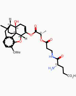 COc1ccc2c3c1O[C@H]1C(OC(=O)[C@H](C)OC(=O)CCNC(=O)[C@@H](N)CCC(=O)O)=CC[C@@]4(O)[C@@H](C2)C(C)CC[C@]314